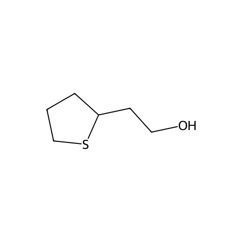 OCCC1CCCS1